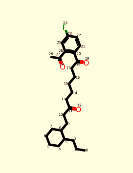 CCCC1CCCCC1CCC(=O)CCCCCC(=O)c1ccc(F)cc1C(C)=O